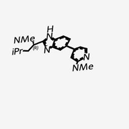 CNc1cc(-c2ccc3[nH]c([C@@H](CC(C)C)NC)nc3c2)ccn1